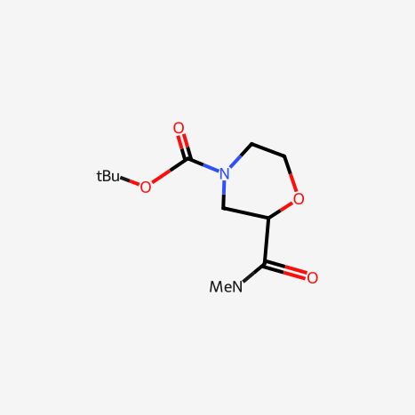 CNC(=O)C1CN(C(=O)OC(C)(C)C)CCO1